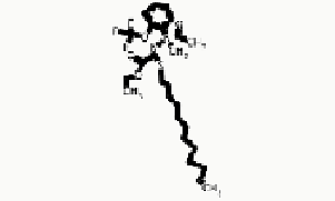 CCCCCCCCCCCCSC(=N[N+](C)(C(C)=O)c1ccccc1OC(F)(F)F)C(=O)OCC